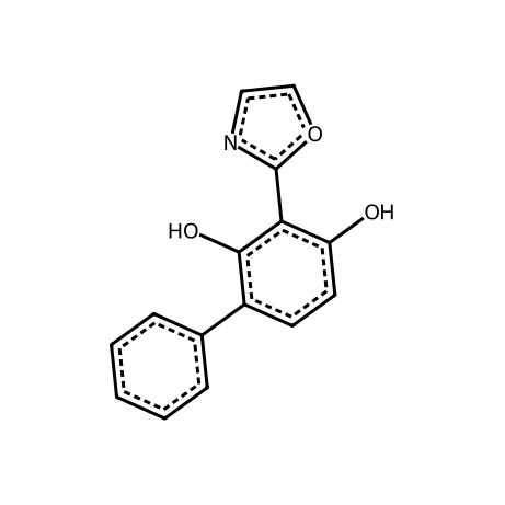 Oc1ccc(-c2ccccc2)c(O)c1-c1ncco1